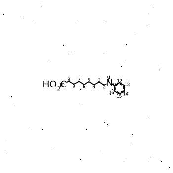 CN(CCCCCCCCC(=O)O)c1ccccc1